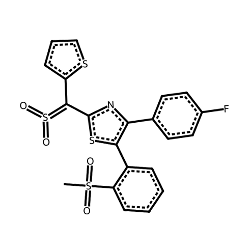 CS(=O)(=O)c1ccccc1-c1sc(C(c2cccs2)=S(=O)=O)nc1-c1ccc(F)cc1